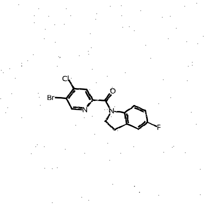 O=C(c1cc(Cl)c(Br)cn1)N1CCc2cc(F)ccc21